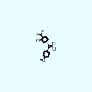 COc1ccc([C@H]2[C@H](c3ccc(C(F)F)c(Cl)c3)C2(Cl)Cl)cc1